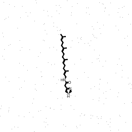 CC(C)=CCC/C(C)=C/CC/C(C)=C/CC/C(C)=C/CNC(=O)Cc1c[nH]cn1